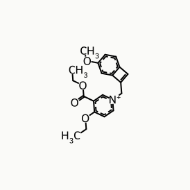 CCOC(=O)c1c[n+](CC2=Cc3ccc(OC)cc32)ccc1OCC